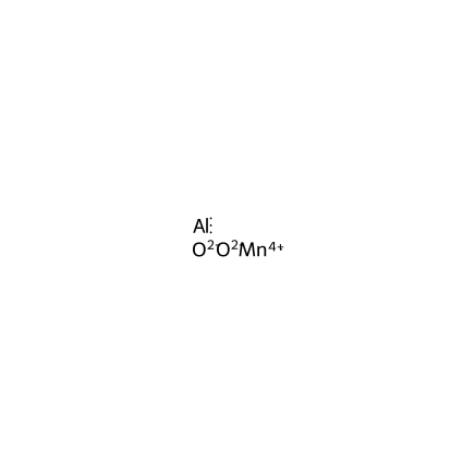 [Al].[Mn+4].[O-2].[O-2]